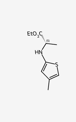 CCOC(=O)[C@H](C)Nc1cc(C)cs1